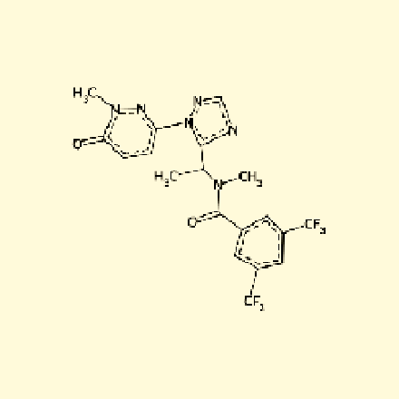 CC(c1ncnn1-c1ccc(=O)n(C)n1)N(C)C(=O)c1cc(C(F)(F)F)cc(C(F)(F)F)c1